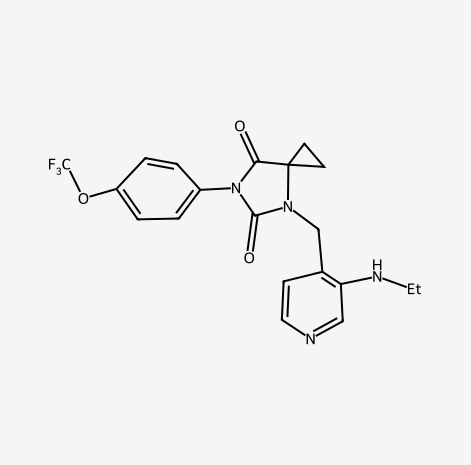 CCNc1cnccc1CN1C(=O)N(c2ccc(OC(F)(F)F)cc2)C(=O)C12CC2